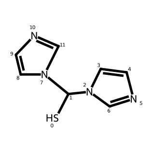 SC(n1ccnc1)n1ccnc1